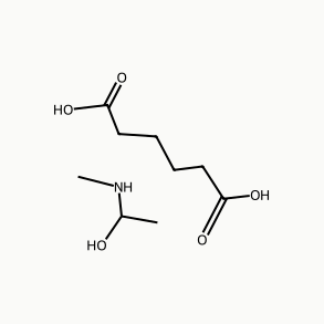 CNC(C)O.O=C(O)CCCCC(=O)O